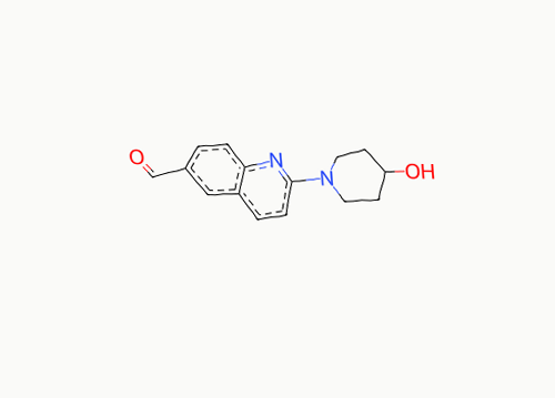 O=Cc1ccc2nc(N3CCC(O)CC3)ccc2c1